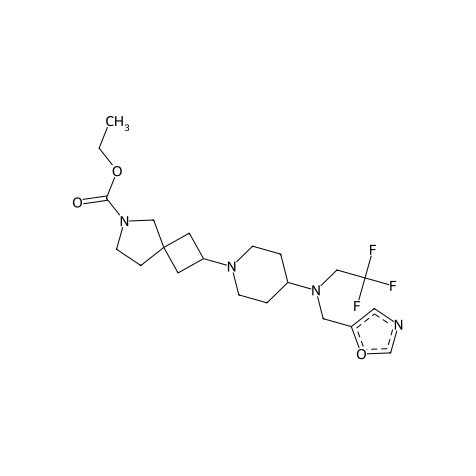 CCOC(=O)N1CCC2(CC(N3CCC(N(Cc4cnco4)CC(F)(F)F)CC3)C2)C1